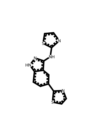 c1csc(Nc2n[nH]c3ccc(-c4nccs4)cc23)n1